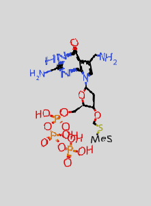 CSSCOC1C[C@H](n2cc(CN)c3c(=O)[nH]c(N)nc32)O[C@@H]1COP(=O)(O)OP(=O)(O)OP(=O)(O)O